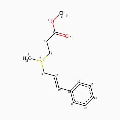 COC(=O)CC[S+](C)CC=Cc1ccccc1